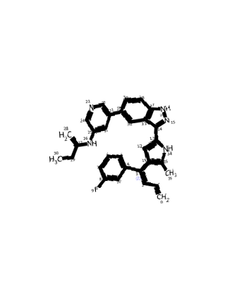 C=C/C=C(/c1cccc(F)c1)c1cc(-c2n[nH]c3ccc(-c4cncc(NC(=C)CC)c4)cc23)[nH]c1C